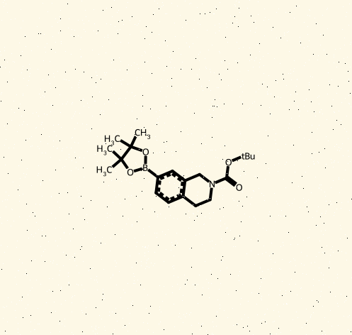 CC(C)(C)OC(=O)N1CCc2ccc(B3OC(C)(C)C(C)(C)O3)cc2C1